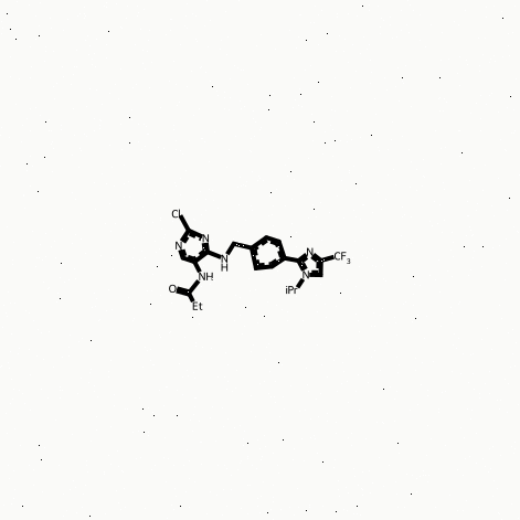 CCC(=O)Nc1cnc(Cl)nc1NCc1ccc(-c2nc(C(F)(F)F)cn2C(C)C)cc1